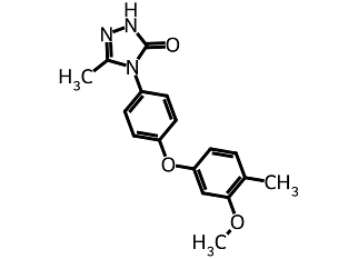 COc1cc(Oc2ccc(-n3c(C)n[nH]c3=O)cc2)ccc1C